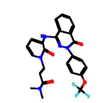 CN(C)C(=O)CCn1cccc(Nc2nn(-c3ccc(OC(F)(F)F)cc3)c(=O)c3ccccc23)c1=O